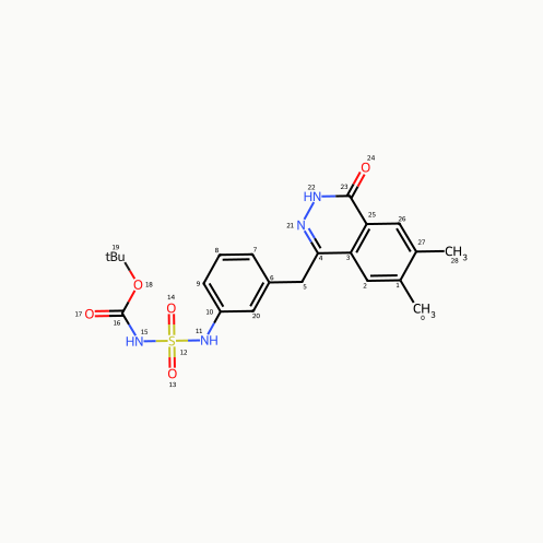 Cc1cc2c(Cc3cccc(NS(=O)(=O)NC(=O)OC(C)(C)C)c3)n[nH]c(=O)c2cc1C